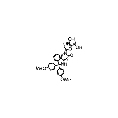 COc1ccc(C(Nc2ccn([C@@H](CO)O[C@H](CO)[C@@H](C)O)c(=O)n2)(c2ccccc2)c2ccc(OC)cc2)cc1